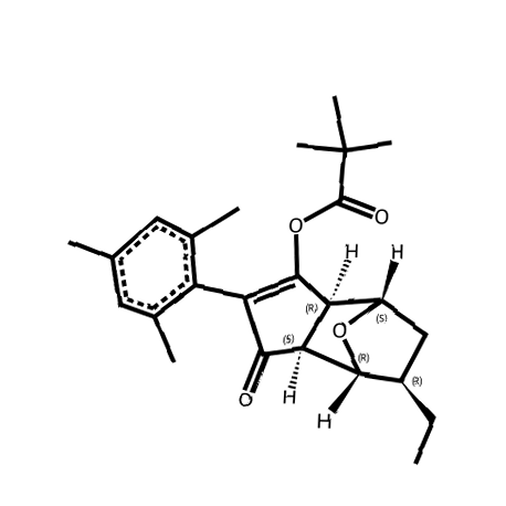 CC[C@@H]1C[C@@H]2O[C@H]1[C@H]1C(=O)C(c3c(C)cc(C)cc3C)=C(OC(=O)C(C)(C)C)[C@H]12